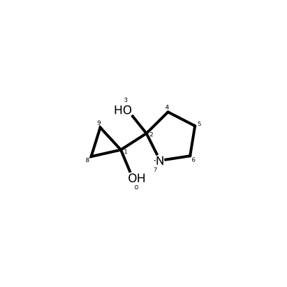 OC1(C2(O)CCC[N]2)CC1